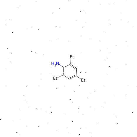 CCC1=CC(CC)C(N)C(CC)=C1